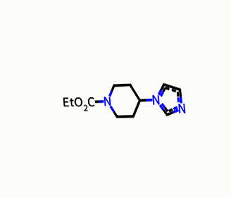 CCOC(=O)N1CCC(n2ccnc2)CC1